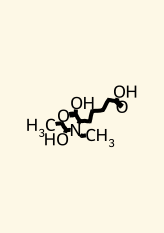 CCC(O)N(CC)C(CCCCC(=O)O)C(=O)O